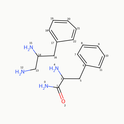 NC(=O)C(N)Cc1ccccc1.NCC(N)Cc1ccccc1